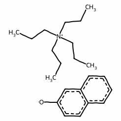 CCC[N+](CCC)(CCC)CCC.[O]c1ccc2ccccc2c1